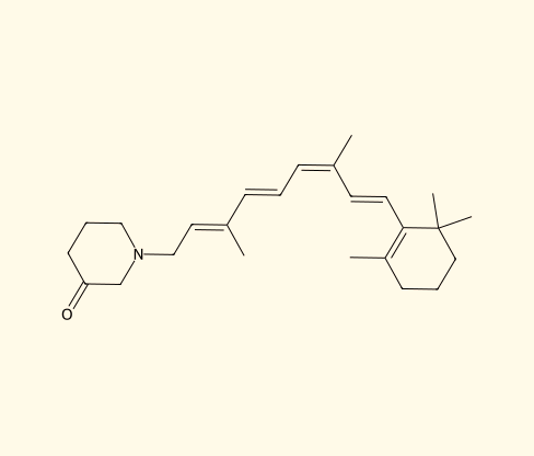 CC1=C(/C=C/C(C)=C\C=C\C(C)=C\CN2CCCC(=O)C2)C(C)(C)CCC1